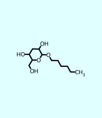 CCCCCCOC1OC(CO)C(O)CC1O